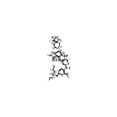 CCOP(=O)(Cc1ccc(Nc2ncc(C(F)(F)F)c(Nc3ccc([C@H]4CC[C@@](C(=O)O)(N(C)C)CC4)c4c3C(=O)N(C)C4)n2)c(OC)c1)OCC